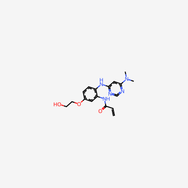 C=CC(=O)Nc1cc(OCCO)ccc1Nc1cc(N(C)C)ncn1